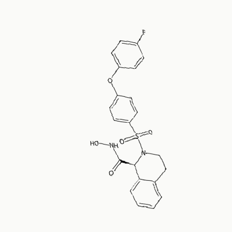 O=C(NO)[C@@H]1c2ccccc2CCN1S(=O)(=O)c1ccc(Oc2ccc(F)cc2)cc1